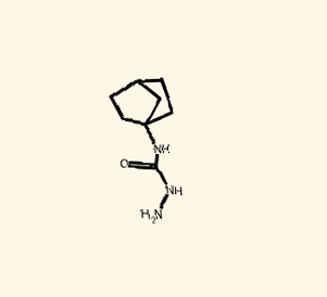 NNC(=O)NC12CCC(CC1)C2